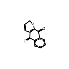 O=C1C2=C(SCC=C2)C(=O)c2ccccc21